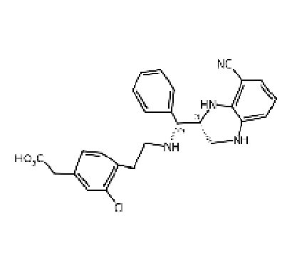 N#Cc1cccc2c1N[C@@H]([C@H](NCCc1ccc(CC(=O)O)cc1Cl)c1ccccc1)CN2